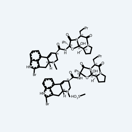 CC(C)C[C@H]1C(=O)N2CCC[C@H]2[C@]2(O)O[C@](NC(=O)[C@@H]3C=C4c5cccc6[nH]c(Br)c(c56)C[C@H]4N(C)C3)(C(C)C)C(=O)N12.CC(C)C[C@H]1C(=O)N2CCC[C@H]2[C@]2(O)O[C@](NC(=O)[C@@H]3C=C4c5cccc6[nH]c(Br)c(c56)C[C@H]4N(C)C3)(C(C)C)C(=O)N12.CS(=O)(=O)O